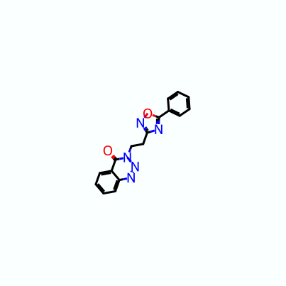 O=c1c2ccccc2nnn1CCc1noc(-c2ccccc2)n1